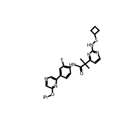 CC(C)Oc1cncc(-c2ccc(NC(=O)C(C)(C)c3ccnc(NSC4CCC4)n3)c(F)c2)n1